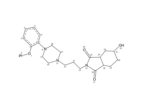 CC(C)Oc1ccccc1N1CCN(CCCN2C(=O)C3CCC(O)CC3C2=O)CC1